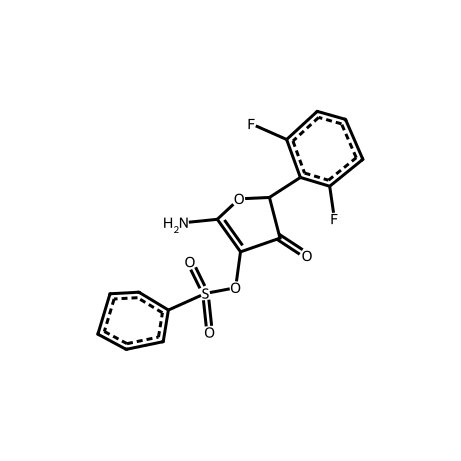 NC1=C(OS(=O)(=O)c2ccccc2)C(=O)C(c2c(F)cccc2F)O1